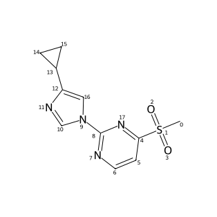 CS(=O)(=O)c1ccnc(-n2cnc(C3CC3)c2)n1